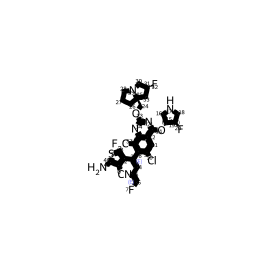 N#Cc1c(/C(=C\C=C\F)c2c(Cl)cc3c(O[C@@H]4CNC[C@H]4F)nc(OC[C@@]45CCCN4C[C@H](F)C5)nc3c2C(F)(F)F)csc1N